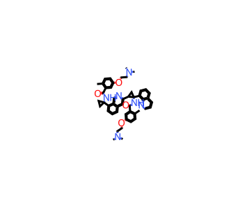 Cc1ccc(OCCN(C)C)cc1C(=O)NC1(c2cccc3cc(C4CC4(NC(=O)c4cc(OCCN(C)C)ccc4C)c4cccc5cccnc45)ncc23)CC1